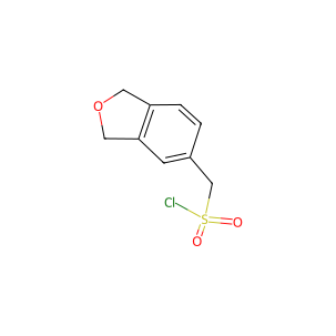 O=S(=O)(Cl)Cc1ccc2c(c1)COC2